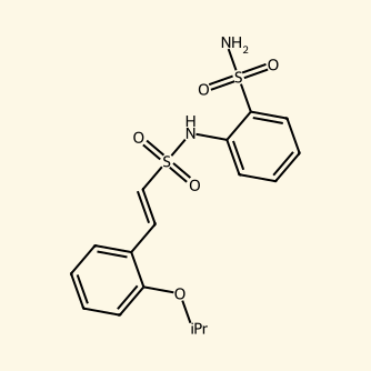 CC(C)Oc1ccccc1C=CS(=O)(=O)Nc1ccccc1S(N)(=O)=O